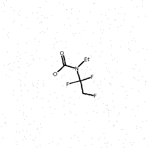 CCN(C([O])=O)C(F)(F)CF